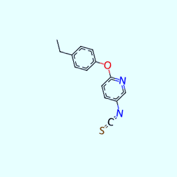 CCc1ccc(Oc2ccc(N=C=S)cn2)cc1